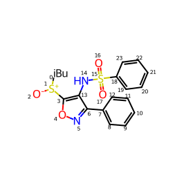 CCC(C)[S+]([O-])c1onc(-c2ccccc2)c1NS(=O)(=O)c1ccccc1